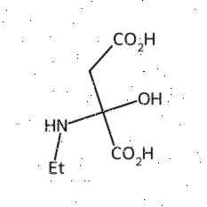 CCNC(O)(CC(=O)O)C(=O)O